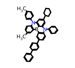 Cc1ccc(N2c3ccc(C)cc3B3c4cc(-c5ccc(-c6ccccc6)cc5)ccc4N(c4ccccc4)c4cc(C5CCCCC5)cc2c43)cc1